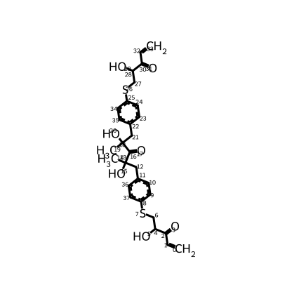 C=CC(=O)C(O)CSc1ccc(CC(C)(O)C(=O)C(C)(O)Cc2ccc(SCC(O)C(=O)C=C)cc2)cc1